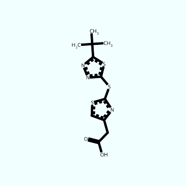 CC(C)(C)c1nnc(Sc2nc(CC(=O)O)cs2)s1